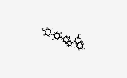 Cc1cc(-c2cnn3cc(-c4ccc(N5CCN(C)CC5)cc4)cnc23)c2ccccc2n1